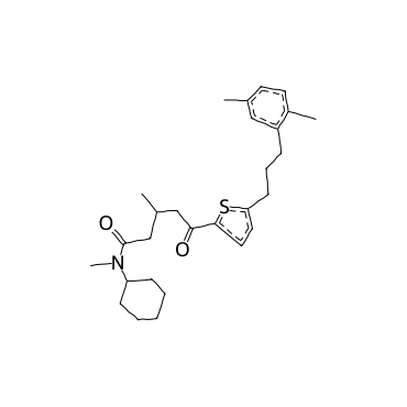 Cc1ccc(C)c(CCCc2ccc(C(=O)CC(C)CC(=O)N(C)C3CCCCC3)s2)c1